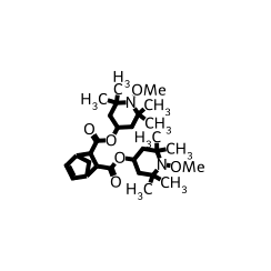 CON1C(C)(C)CC(OC(=O)C2C3C=CC(C3)C2C(=O)OC2CC(C)(C)N(OC)C(C)(C)C2)CC1(C)C